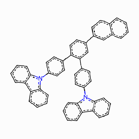 c1ccc2cc(-c3ccc(-c4ccc(-n5c6ccccc6c6ccccc65)cc4)c(-c4ccc(-n5c6ccccc6c6ccccc65)cc4)c3)ccc2c1